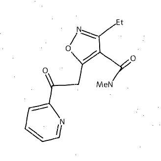 CCc1noc(CC(=O)c2ccccn2)c1C(=O)NC